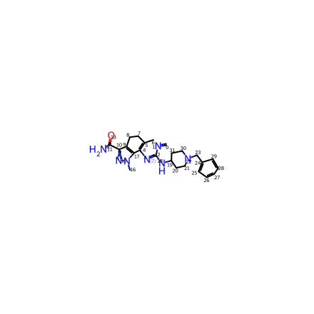 C=N/C(=N\C1=C(C)CCc2c(C(N)=O)nn(C)c21)NC1CCN(Cc2ccccc2)CC1